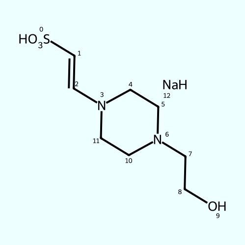 O=S(=O)(O)C=CN1CCN(CCO)CC1.[NaH]